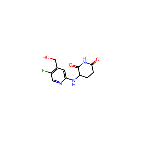 O=C1CCC(Nc2cc(CO)c(F)cn2)C(=O)N1